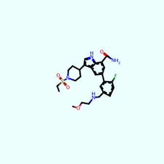 CCS(=O)(=O)N1CCC(c2c[nH]c3c(C(N)=O)cc(-c4cc(CNCCOC)ccc4F)cc23)CC1